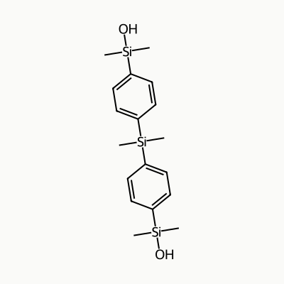 C[Si](C)(O)c1ccc([Si](C)(C)c2ccc([Si](C)(C)O)cc2)cc1